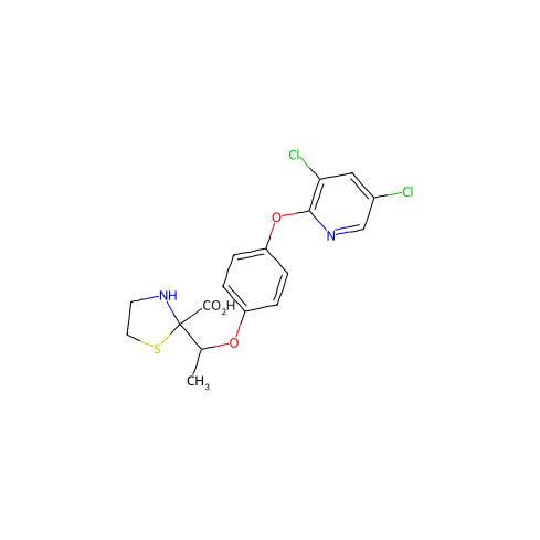 CC(Oc1ccc(Oc2ncc(Cl)cc2Cl)cc1)C1(C(=O)O)NCCS1